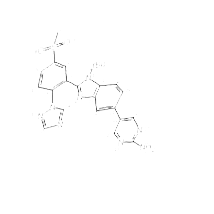 CC(C)(C)n1c(-c2cc(S(C)(=O)=O)ccc2-n2cncn2)nc2cc(-c3cnc(N)nc3)ccc21